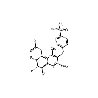 CCC(=O)Oc1c(F)c(F)c(Cl)c2nc(OC)c(Cc3ccc(S(C)(=O)=O)cc3)c(C)c12